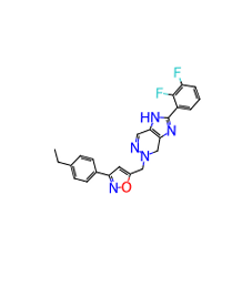 CCc1ccc(-c2cc(CN3Cc4nc(-c5cccc(F)c5F)[nH]c4C=N3)on2)cc1